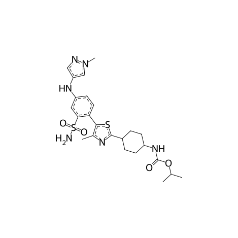 Cc1nc(C2CCC(NC(=O)OC(C)C)CC2)sc1-c1ccc(Nc2cnn(C)c2)cc1S(N)(=O)=O